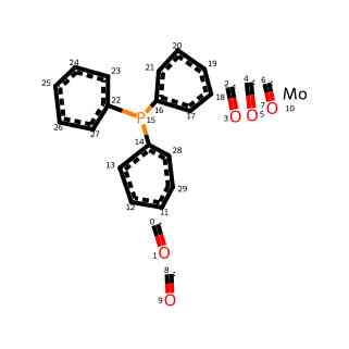 [C]=O.[C]=O.[C]=O.[C]=O.[C]=O.[Mo].c1ccc(P(c2ccccc2)c2ccccc2)cc1